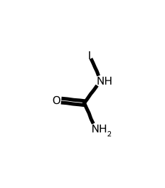 NC(=O)NI